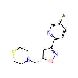 Brc1ccc(C2=NO[C@H](CN3CCSCC3)C2)nc1